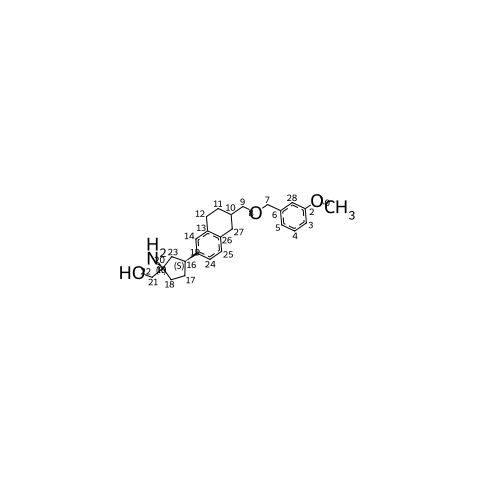 COc1cccc(COCC2CCc3cc([C@H]4CC[C@](N)(CO)C4)ccc3C2)c1